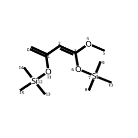 C=C(/C=C(/OC)O[Si](C)(C)C)O[Si](C)(C)C